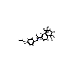 CCOc1ccc(/C=C(\C)c2ccc3c(c2)C(C)(C)CCC3(C)C)cc1